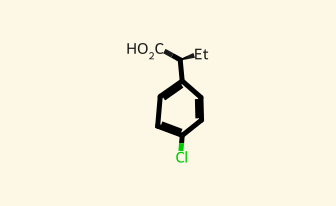 CC[C@H](C(=O)O)c1ccc(Cl)cc1